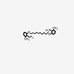 Cc1cccc(OCCCCCCCCCCOc2cccc(C)c2N)c1N